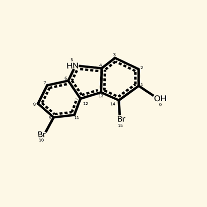 Oc1ccc2[nH]c3ccc(Br)cc3c2c1Br